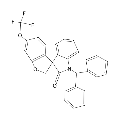 O=C1N(C(c2ccccc2)c2ccccc2)c2ccccc2C12COc1cc(OC(F)(F)F)ccc12